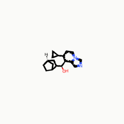 O[C@H](c1c(C2CC2)ccn2cncc12)C1C[C@@H]2CCC1C2